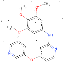 COc1cc(Nc2cc(Oc3cccnc3)ccn2)cc(OC)c1OC